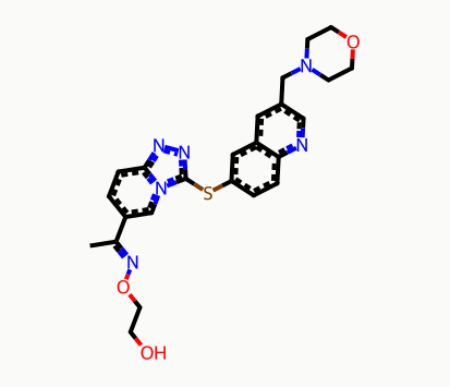 CC(=NOCCO)c1ccc2nnc(Sc3ccc4ncc(CN5CCOCC5)cc4c3)n2c1